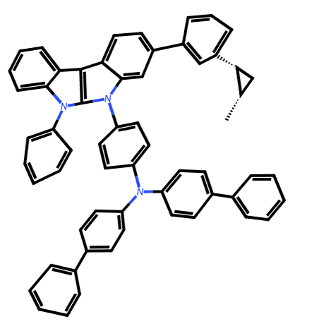 C[C@H]1C[C@H]1c1cccc(-c2ccc3c4c5ccccc5n(-c5ccccc5)c4n(-c4ccc(N(c5ccc(-c6ccccc6)cc5)c5ccc(-c6ccccc6)cc5)cc4)c3c2)c1